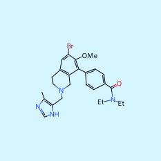 CCN(CC)C(=O)c1ccc(-c2c3c(cc(Br)c2OC)CCN(Cc2[nH]cnc2C)C3)cc1